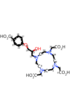 O=C(O)CN1CCN(CC(=O)O)CCN(CC(O)COc2ccc(C(=O)O)cc2)CCN(CC(=O)O)CC1